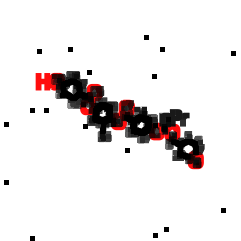 CCCC(OCC1CCC2OC2C1)Oc1ccc(C(=O)Oc2ccc(OC(=O)C3CCC(O)CC3)cc2C)cc1